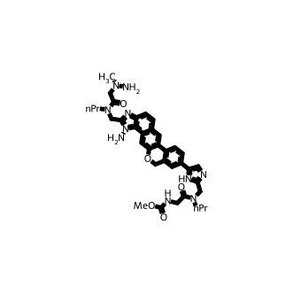 CCCN(Cc1ncc(-c2ccc3c(c2)COc2cc4c(ccc5nc(CN(CCC)C(=O)CN(C)N)n(N)c54)cc2-3)[nH]1)C(=O)CNC(=O)OC